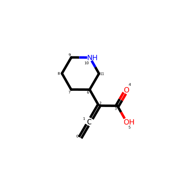 C=C=C(C(=O)O)C1CCCNC1